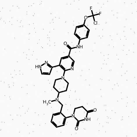 CN(Cc1ccccc1N1CCC(=O)NC1=O)C1CCN(c2ncc(C(=O)Nc3ccc(OC(F)(F)Cl)cc3)cc2-c2cc[nH]n2)CC1